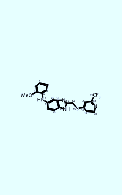 COc1ccccc1Nc1ccc2[nH]c(CSc3ccnc(C(F)(F)F)c3)nc2c1